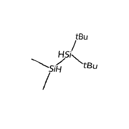 C[SiH](C)[SiH](C(C)(C)C)C(C)(C)C